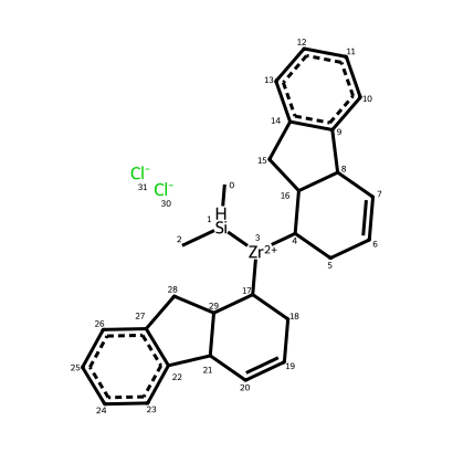 C[SiH](C)[Zr+2]([CH]1CC=CC2c3ccccc3CC21)[CH]1CC=CC2c3ccccc3CC21.[Cl-].[Cl-]